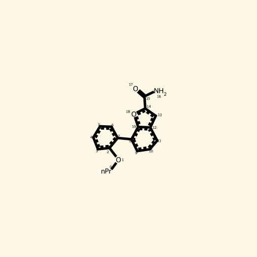 CCCOc1ccccc1-c1cccc2cc(C(N)=O)oc12